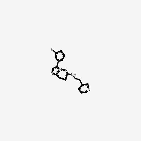 Fc1cccc(-c2cnc3ccc(NCCc4cccnc4)nn23)c1